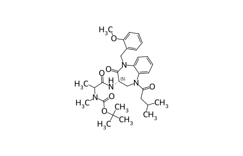 COc1ccccc1CN1C(=O)[C@@H](NC(=O)C(C)N(C)C(=O)OC(C)(C)C)CN(C(=O)CC(C)C)c2ccccc21